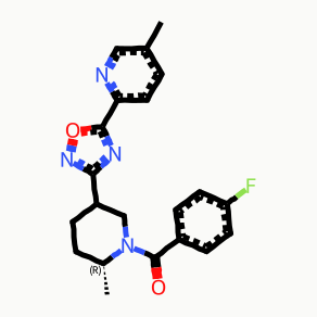 Cc1ccc(-c2nc(C3CC[C@@H](C)N(C(=O)c4ccc(F)cc4)C3)no2)nc1